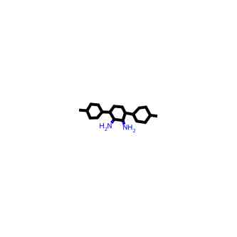 CC1CCC(C2CCC(C3CCC(C)CC3)C(N)C2N)CC1